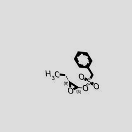 CC[C@H]1O[C@H]1OS(=O)(=O)Cc1ccccc1